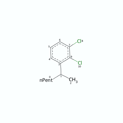 CCCCCC(C)c1cccc(Cl)c1Cl